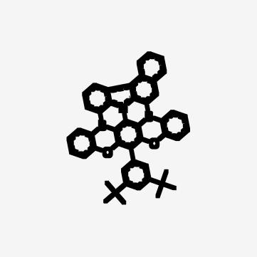 CC(C)(C)c1cc(-c2c3c4c5c6c2Oc2ccccc2B6c2cc6ccccc6c6c7cccc(c7n-5c26)B4c2ccccc2O3)cc(C(C)(C)C)c1